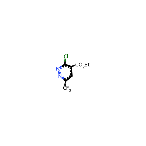 CCOC(=O)c1cc(C(F)(F)F)nnc1Cl